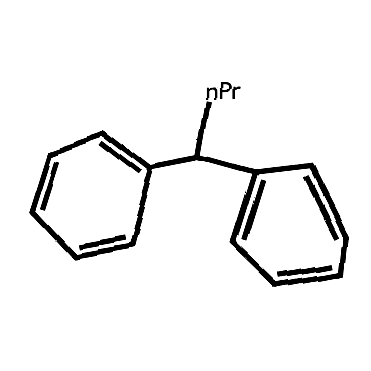 C[CH]CC(c1ccccc1)c1ccccc1